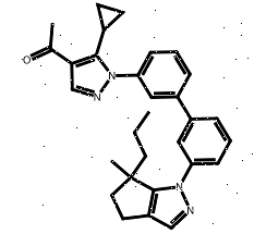 CCCC1(C)CCc2cnn(-c3cccc(-c4cccc(-n5ncc(C(C)=O)c5C5CC5)c4)c3)c21